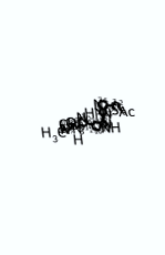 CC(=O)c1ccc(-c2ccnc3[nH]c(-c4n[nH]c5ccc(-c6cncc(NC(=O)CN(C)C)c6)cc45)nc23)s1